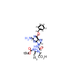 CC(NC(=O)OC(C)(C)C)N(CC(=O)O)C(=O)Nn1cnc2c(OCc3ccccc3)nc(N)nc21